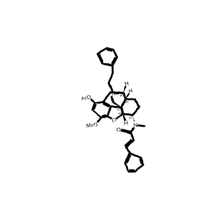 COc1cc(OC(C)=O)c2c3c1O[C@H]1[C@@H](N(C)C(=O)C=Cc4ccccc4)CC[C@H]4[C@@H](C2)N(CCc2ccccc2)CC[C@@]341